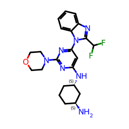 N[C@H]1CCC[C@H](Nc2cc(-n3c(C(F)F)nc4ccccc43)nc(N3CCOCC3)n2)C1